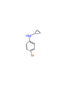 Brc1ccc(NC2CC2)cc1